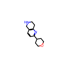 c1cc2c(nc1C1CCOCC1)CCNC2